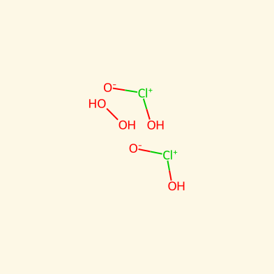 OO.[O-][Cl+]O.[O-][Cl+]O